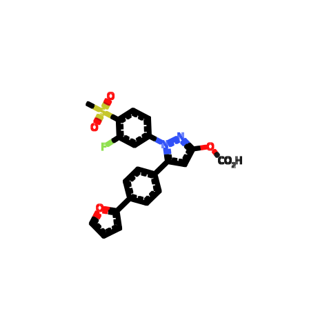 CS(=O)(=O)c1ccc(-n2nc(OC(=O)O)cc2-c2ccc(-c3ccco3)cc2)cc1F